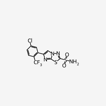 NS(=O)(=O)c1nn2cc(-c3cc(Cl)ccc3C(F)(F)F)nc2s1